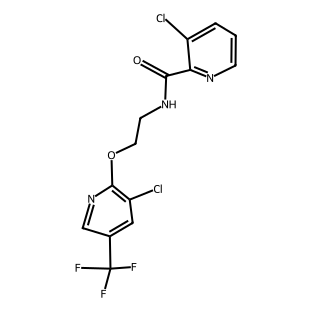 O=C(NCCOc1ncc(C(F)(F)F)cc1Cl)c1ncccc1Cl